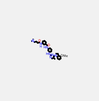 COc1cccc2c1ccn2-c1nc(Nc2cccc(NC(=O)c3cccc(NC(=O)/C=C/CN(C)C)c3)c2)ncc1C